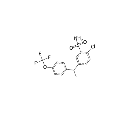 CC(c1ccc(OC(F)(F)F)cc1)c1ccc(Cl)c(S(N)(=O)=O)c1